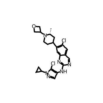 C[C@@H]1CC(c2cc3nc(Nc4cnn(C5CC5)c4Cl)ncc3cc2Cl)CCN1C1COC1